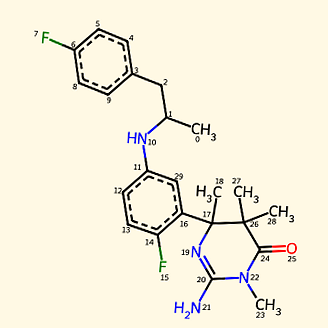 CC(Cc1ccc(F)cc1)Nc1ccc(F)c(C2(C)N=C(N)N(C)C(=O)C2(C)C)c1